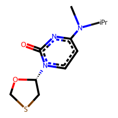 CC(C)N(C)c1ccn([C@@H]2CSCO2)c(=O)n1